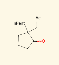 CCCCCC1(CC(C)=O)CCCC1=O